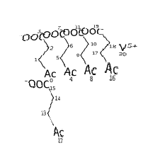 CC(=O)CCC(=O)[O-].CC(=O)CCC(=O)[O-].CC(=O)CCC(=O)[O-].CC(=O)CCC(=O)[O-].CC(=O)CCC(=O)[O-].[V+5]